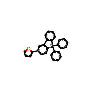 c1ccc([Si]2(c3ccccc3)c3ccccc3-c3cc(-c4ccco4)ccc32)cc1